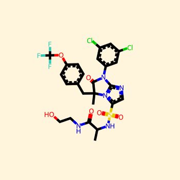 CC(NS(=O)(=O)c1cnc2n1C(C)(Cc1ccc(OC(F)(F)F)cc1)C(=O)N2c1cc(Cl)cc(Cl)c1)C(=O)NCCO